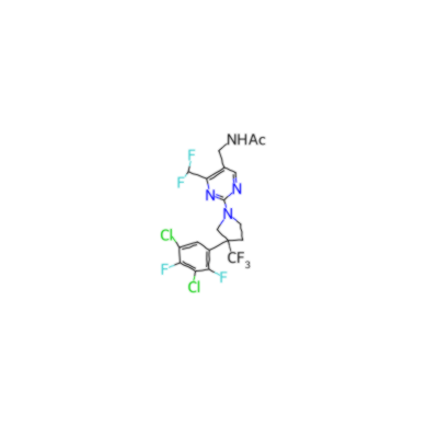 CC(=O)NCc1cnc(N2CCC(c3cc(Cl)c(F)c(Cl)c3F)(C(F)(F)F)C2)nc1C(F)F